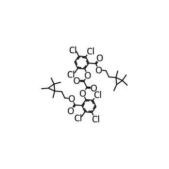 CC1C(C)(C)C1(C)CCOC(=O)c1c(Cl)c(Cl)cc(Cl)c1OC(=O)C(=O)Oc1c(Cl)cc(Cl)c(Cl)c1C(=O)OCCC1(C)C(C)C1(C)C